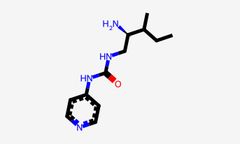 CCC(C)[C@H](N)CNC(=O)Nc1ccncc1